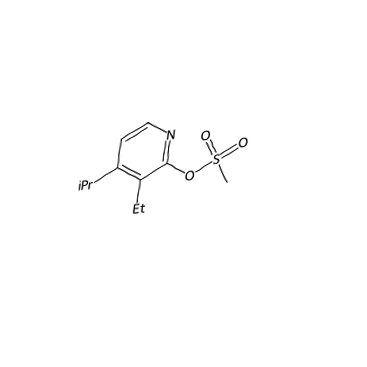 CCc1c(C(C)C)ccnc1OS(C)(=O)=O